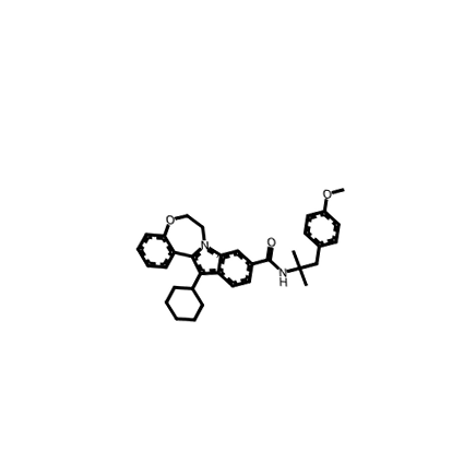 COc1ccc(CC(C)(C)NC(=O)c2ccc3c(C4CCCCC4)c4n(c3c2)CCOc2ccccc2-4)cc1